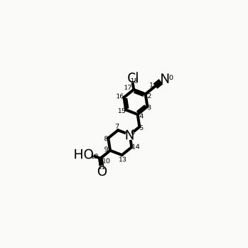 N#Cc1cc(CN2CCC(C(=O)O)CC2)ccc1Cl